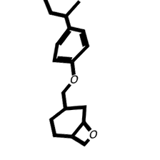 CCC(C)c1ccc(OCC2CCC3COC3C2)cc1